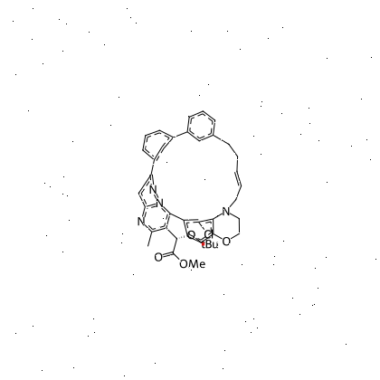 COC(=O)[C@@H](OC(C)(C)C)c1c(C)nc2cc3nn2c1-c1ccc2c(c1Cl)N(C/C=C/CCc1cccc(c1)-c1cccc-3c1)CCO2